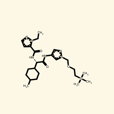 CCn1nccc1C(=O)N[C@H](C(=O)Nc1cnn(COCC[Si](C)(C)C)c1)C1CCC(C)CC1